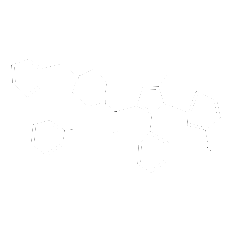 [C-]#[N+]c1cccc(-n2c(C)cc(C(=O)N3CCN(Cc4ccccc4)C[C@H]3Cc3ccccc3)c2-c2ccccc2)c1